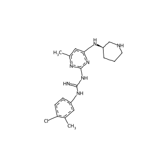 Cc1cc(N[C@@H]2CCCNC2)nc(NC(=N)Nc2ccc(Cl)c(C)c2)n1